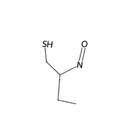 CCC(CS)N=O